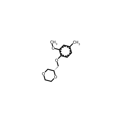 COc1cc(C)ccc1OC[C@H]1COCCO1